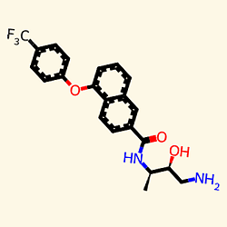 C[C@@H](NC(=O)c1ccc2c(Oc3ccc(C(F)(F)F)cc3)cccc2c1)[C@@H](O)CN